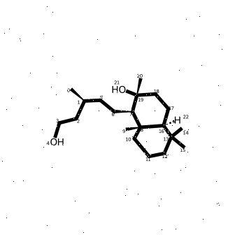 C[C@H](CCO)CC[C@@H]1[C@@]2(C)CCCC(C)(C)[C@@H]2CC[C@@]1(C)O